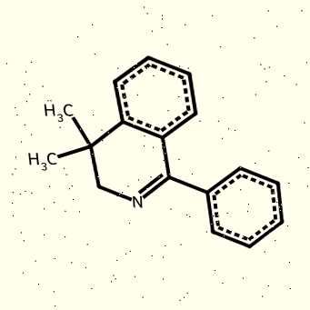 CC1(C)CN=C(c2ccccc2)c2ccccc21